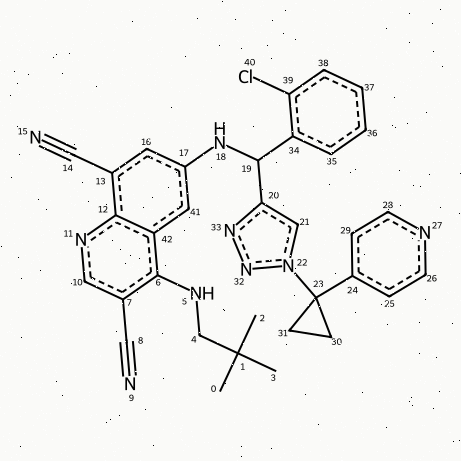 CC(C)(C)CNc1c(C#N)cnc2c(C#N)cc(NC(c3cn(C4(c5ccncc5)CC4)nn3)c3ccccc3Cl)cc12